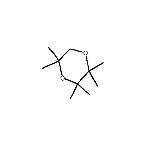 CC1(C)COC(C)(C)C(C)(C)O1